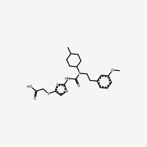 COc1cccc(CCN(C(=O)Nc2ncc(SCC(=O)O)s2)C2CCC(C)CC2)c1